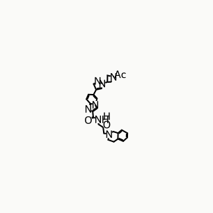 CC(=O)N1CC(n2cc(-c3ccc4nc(C(=O)NCC(O)CN5CCc6ccccc6C5)cn4c3)cn2)C1